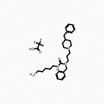 CCCCCCNC(=O)N(CCCN1CCC(Cc2ccccc2)CC1)Cc1ccccc1.O=C(O)C(F)(F)F